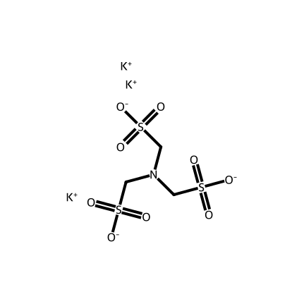 O=S(=O)([O-])CN(CS(=O)(=O)[O-])CS(=O)(=O)[O-].[K+].[K+].[K+]